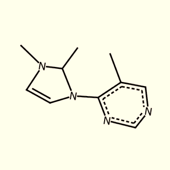 Cc1cncnc1N1C=CN(C)C1C